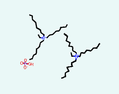 CCCCCCCC[N+](CC)(CCCCCCCC)CCCCCCCC.CCCCCCCC[N+](CC)(CCCCCCCC)CCCCCCCC.O=P([O-])([O-])O